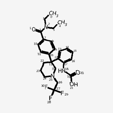 CCN(CC)C(=O)c1ccc(C2(c3ccccc3NC(=O)O)CCCN(CC(F)(F)F)C2)cc1